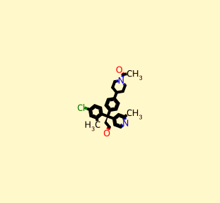 CC(=O)N1CCC(c2ccc([C@](CC=O)(c3ccnc(C)c3)c3ccc(Cl)cc3C)cc2)CC1